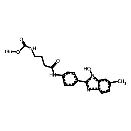 Cc1ccc2nc(-c3ccc(NC(=O)CCCNC(=O)OC(C)(C)C)cc3)n(O)c2c1